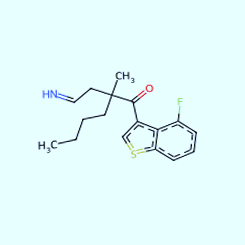 CCCCC(C)(CC=N)C(=O)c1csc2cccc(F)c12